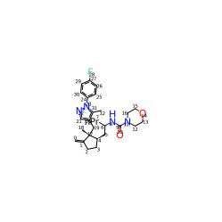 C=C1CC[C@H](CC(CCC)NC(=O)N2CCOCC2)[C@@]1(C)Cc1cnn(-c2ccc(F)cc2)c1C